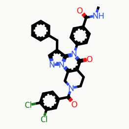 CNC(=O)c1ccc(-n2c(=O)c3c(n4ncc(Cc5ccccc5)c24)CN(C(=O)c2ccc(Cl)c(Cl)c2)CC3)cc1